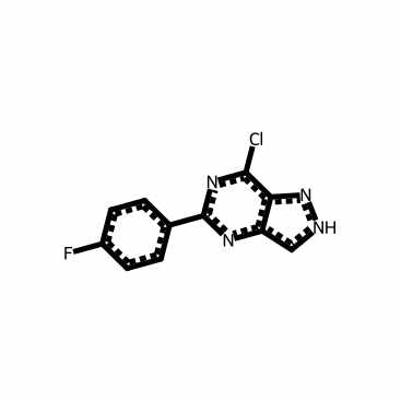 Fc1ccc(-c2nc(Cl)c3n[nH]cc3n2)cc1